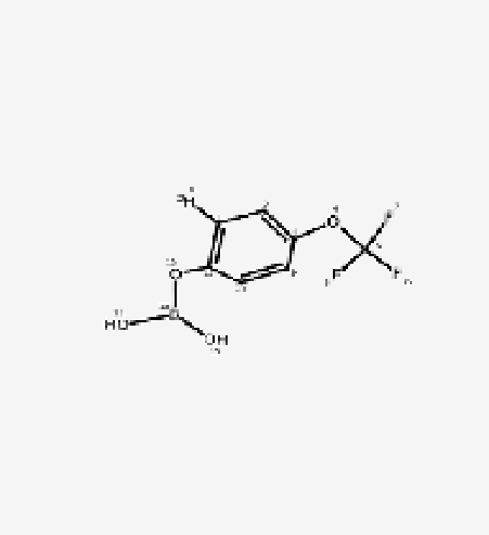 [2H]c1cc(OC(F)(F)F)ccc1OB(O)O